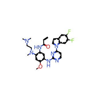 C=CC(=O)Nc1cc(Nc2nccc(-n3ccc4cc(F)c(F)cc43)n2)c(OC)cc1N(C)CCN(C)C